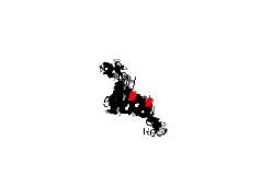 CC(C)C1=C2[C@H]3CCC4[C@@]5(C)CC[C@H](OC(=O)CC(C)(C)C(=O)O)C(C)(C)[C@@H]5CC[C@@]4(C)[C@]3(C)CC[C@@]2([C@@H](O)CN(Cc2cccnc2)C(=O)CN(C)C)CC1=O